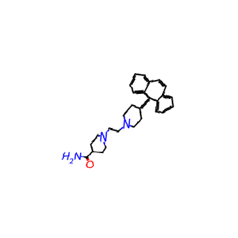 NC(=O)C1CCN(CCN2CCC(=C3c4ccccc4C=Cc4ccccc43)CC2)CC1